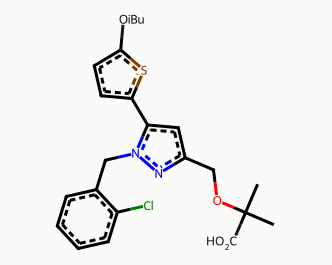 CC(C)COc1ccc(-c2cc(COC(C)(C)C(=O)O)nn2Cc2ccccc2Cl)s1